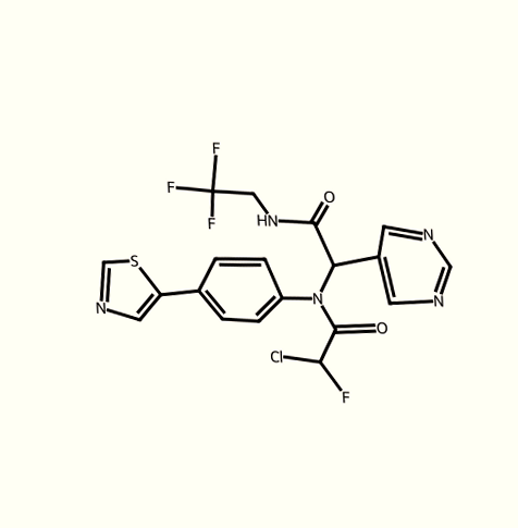 O=C(NCC(F)(F)F)C(c1cncnc1)N(C(=O)C(F)Cl)c1ccc(-c2cncs2)cc1